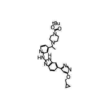 CC(c1ccnc(Nc2nc3ccc(-c4cc(OCC5CC5)ncn4)cc3[nH]2)c1)N1CCN(C(=O)OC(C)(C)C)CC1